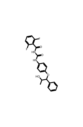 CC(O)C(Oc1ccc(NC(=O)NC(=O)c2c(F)cccc2F)cc1)c1ccccc1